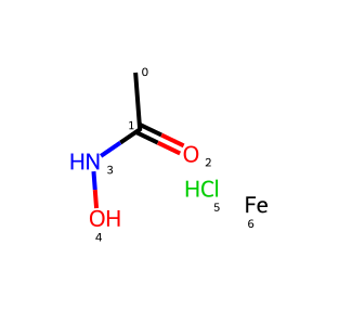 CC(=O)NO.Cl.[Fe]